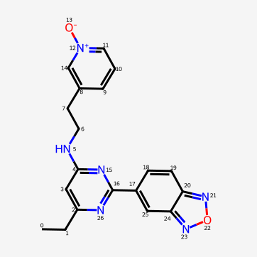 CCc1cc(NCCc2ccc[n+]([O-])c2)nc(-c2ccc3nonc3c2)n1